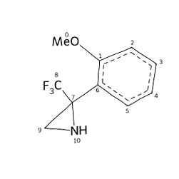 COc1ccccc1C1(C(F)(F)F)CN1